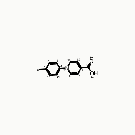 Cc1ccc(N2C=CC(C(=O)O)=CC2)cc1